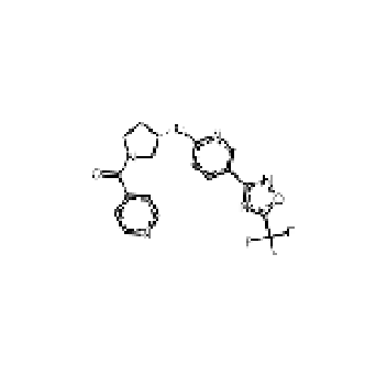 O=C(c1ccncc1)N1CC[C@H](Oc2ccc(-c3noc(C(F)(F)F)n3)cn2)C1